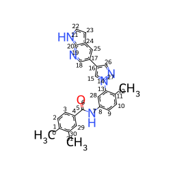 Cc1ccc(C(=O)Nc2ccc(C)c(-n3cc(-c4cnc5[nH]ccc5c4)cn3)c2)cc1C